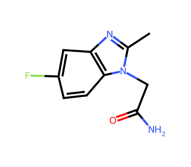 Cc1nc2cc(F)ccc2n1CC(N)=O